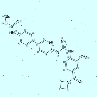 COc1cc(C(=O)N2CCC2)ccc1NC(=N)/N=c1/ccc(-c2ccc(NC(=O)OC(C)(C)C)cc2)c[nH]1